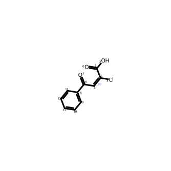 O=C(O)/C(Cl)=C\C(=O)c1ccccc1